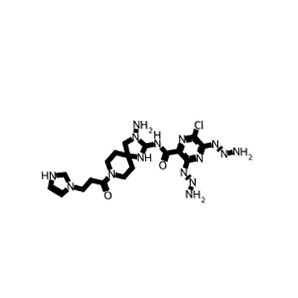 NN=Nc1nc(N=NN)c(C(=O)NC2NC3(CCN(C(=O)CCN4C=CNC4)CC3)CN2N)nc1Cl